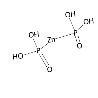 O=[P](O)(O)[Zn][P](=O)(O)O